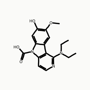 CCN(CC)c1nccc2c1c1cc(OC)c(O)cc1n2C(=O)O